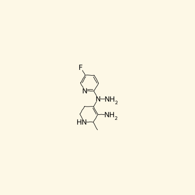 CC1NCCC(N(N)c2ccc(F)cn2)=C1N